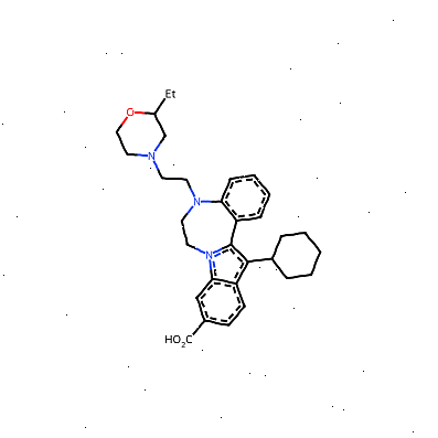 CCC1CN(CCN2CCn3c(c(C4CCCCC4)c4ccc(C(=O)O)cc43)-c3ccccc32)CCO1